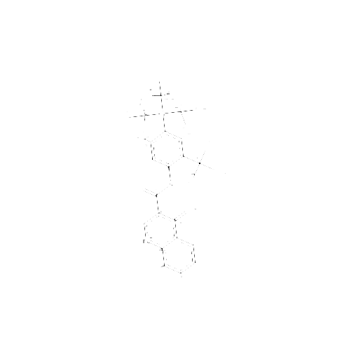 [2H]C([2H])([2H])[Si](c1cc(C(C)(C)C)c(NC(=O)c2c[nH]c3ccccc3c2=O)cc1O)(C([2H])([2H])[2H])C([2H])([2H])[2H]